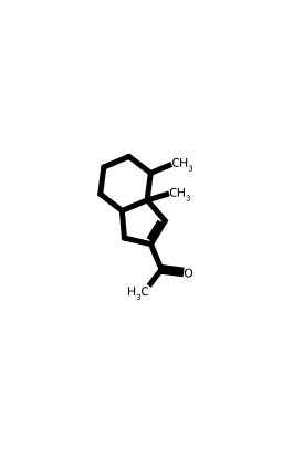 CC(=O)C1=CC2(C)C(C)CCCC2C1